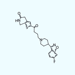 O=C1Cc2cc(C(=O)CCCN3CCC(c4noc5cc(F)ccc45)CC3)sc2CN1